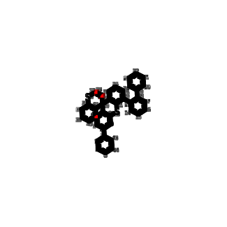 c1ccc(-c2ccc3c(c2)Sc2c(-c4ccccc4-c4ccccc4)cccc2C32c3ccccc3Sc3ccccc32)cc1